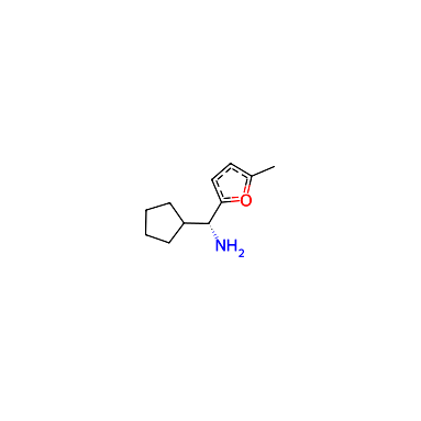 Cc1ccc([C@H](N)C2CCCC2)o1